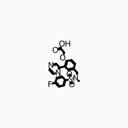 CN(Cc1ccc(OCC(=O)O)c(-c2cnccn2)c1)S(=O)(=O)c1ccc(F)cc1